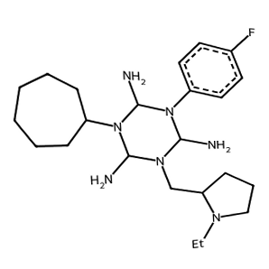 CCN1CCCC1CN1C(N)N(c2ccc(F)cc2)C(N)N(C2CCCCCC2)C1N